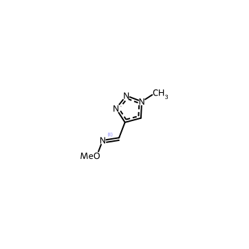 CO/N=C/c1cn(C)nn1